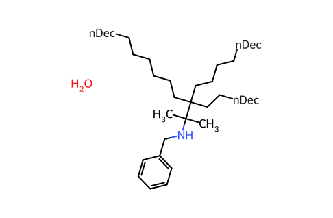 CCCCCCCCCCCCCCCCC(CCCCCCCCCCCC)(CCCCCCCCCCCCCC)C(C)(C)NCc1ccccc1.O